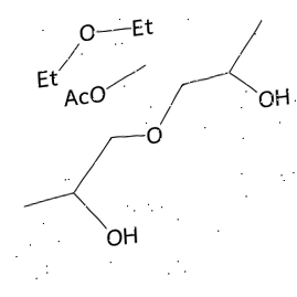 CC(O)COCC(C)O.CCOCC.COC(C)=O